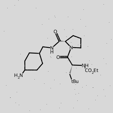 CCOC(=O)N[C@H](CC(C)(C)C)C(=O)N1CCC[C@H]1C(=O)NCC1CCC(N)CC1